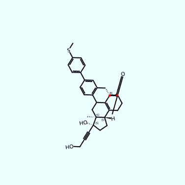 CSc1ccc(-c2ccc3c(c2)C[C@]24CCC(=O)C=C2CCC2=C4C3C[C@@]3(C)[C@H]2CC[C@@]3(O)C#CCO)cc1